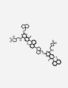 O=S1(=O)CC(CNc2nc(OCC34CCCN3C(c3ccc(F)c5c(-c6ncc7c(NCC8CCS(=O)(=O)N8)nc(OCC89CCCN8CCC9)nc7c6F)cccc35)CC4)nc3c(F)c(-c4cccc5cccc(F)c45)ncc23)C1